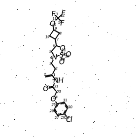 C=C(CCN1CC(C2CC(OC(F)(F)F)C2)OS1(=O)=O)NC(=O)COc1ccc(Cl)cc1